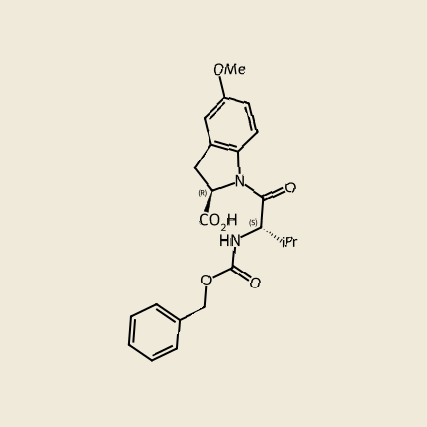 COc1ccc2c(c1)C[C@H](C(=O)O)N2C(=O)[C@@H](NC(=O)OCc1ccccc1)C(C)C